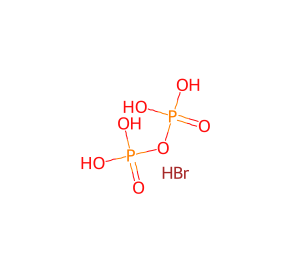 Br.O=P(O)(O)OP(=O)(O)O